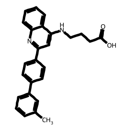 Cc1cccc(-c2ccc(-c3cc(NCCCC(=O)O)c4ccccc4n3)cc2)c1